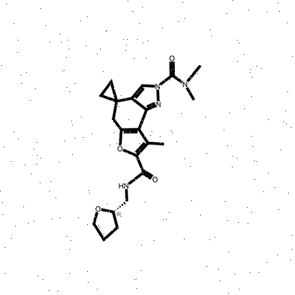 Cc1c(C(=O)NC[C@@H]2CCCO2)oc2c1-c1nn(C(=O)N(C)C)cc1C1(CC1)C2